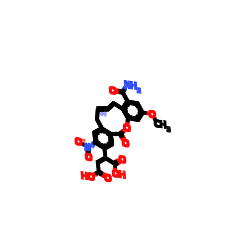 COc1cc2c(c(C(N)=O)c1)C/C=C/Cc1cc([N+](=O)[O-])c(C(CC(=O)O)C(=O)O)cc1C(=O)O2